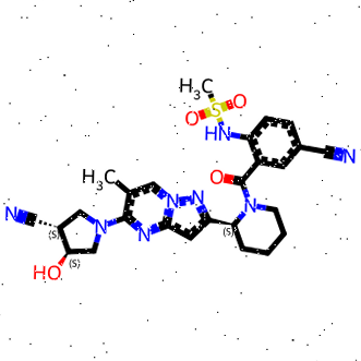 Cc1cn2nc([C@@H]3CCCCN3C(=O)c3cc(C#N)ccc3NS(C)(=O)=O)cc2nc1N1C[C@@H](O)[C@H](C#N)C1